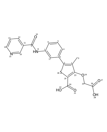 Cc1c(-c2cccc(NC(=O)c3cccnc3)c2)sc(C(=O)O)c1OCC(=O)O